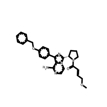 COC/C=C/C(=O)N1CCC[C@H]1c1nc(-c2ccc(OCc3ccccc3)cc2)c2c(N)nccn12